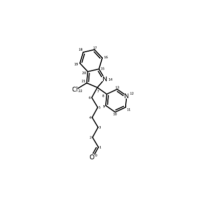 O=CCCCCCC1(c2cccnc2)N=c2ccccc2=C1Cl